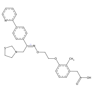 Cc1c(CC(=O)O)cccc1OCCO/N=C(\CN1CCSC1)c1ccc(-c2ccccn2)cc1